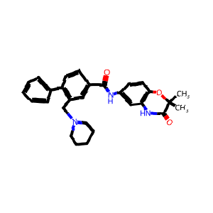 CC1(C)Oc2ccc(NC(=O)c3ccc(-c4ccccc4)c(CN4CCCCC4)c3)cc2NC1=O